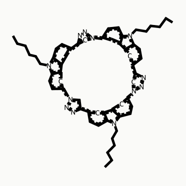 CCCCCCn1c2ccc3cc2c2cc(ccc21)n1cc(nn1)c1ccc2c(c1)c1cc(ccc1n2CCCCCC)n1cc(nn1)c1ccc2c(c1)c1cc(ccc1n2CCCCCC)n1cc3nn1